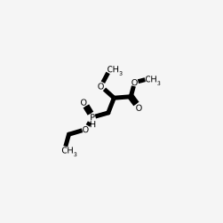 CCO[PH](=O)CC(OC)C(=O)OC